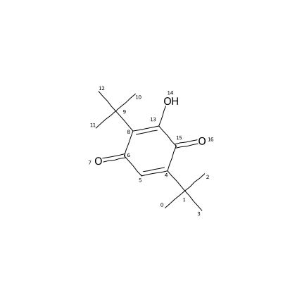 CC(C)(C)C1=CC(=O)C(C(C)(C)C)=C(O)C1=O